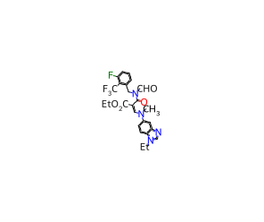 CCOC(=O)/C(=C/N(C)c1ccc2c(c1)ncn2CC)C(=O)N(C=O)Cc1cccc(F)c1C(F)(F)F